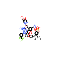 COC(=O)C1=C(C)N(c2cccc(C(F)(F)F)c2)c2n[nH]c(=O)n2C1c1ccc(C#N)cc1CCC[n+]1cccc(CO)c1.Cc1ccc(S(=O)(=O)[O-])cc1